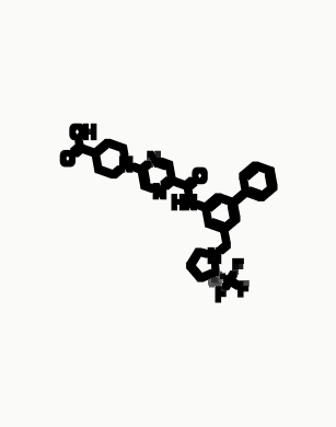 O=C(Nc1cc(CN2CCC[C@H]2C(F)(F)F)cc(-c2ccccc2)c1)c1cnc(N2CCC(C(=O)O)CC2)cn1